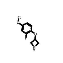 CCOc1ccc(OC2CNC2)c(F)c1